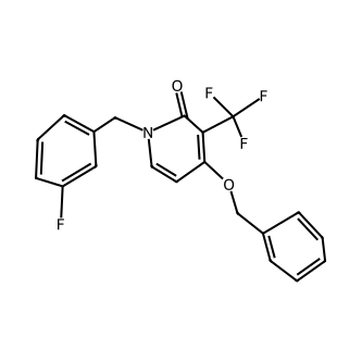 O=c1c(C(F)(F)F)c(OCc2ccccc2)ccn1Cc1cccc(F)c1